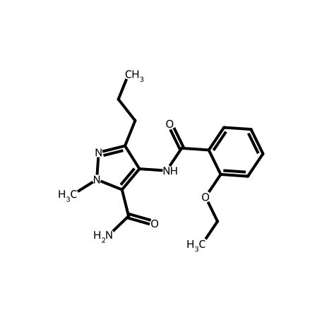 CCCc1nn(C)c(C(N)=O)c1NC(=O)c1ccccc1OCC